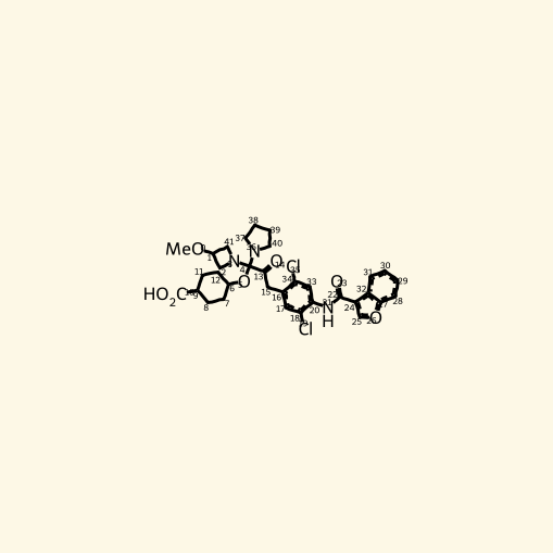 COC1CN(C(OC2CCC(C(=O)O)CC2)(C(=O)Cc2cc(Cl)c(NC(=O)c3coc4ccccc34)cc2Cl)N2CCCC2)C1